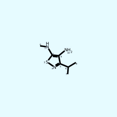 CNc1snc(C(C)C)c1N